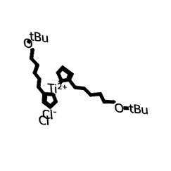 CC(C)(C)OCCCCCCC1=C=CC[CH]1[Ti+2][CH]1CC=C=C1CCCCCCOC(C)(C)C.[Cl-].[Cl-]